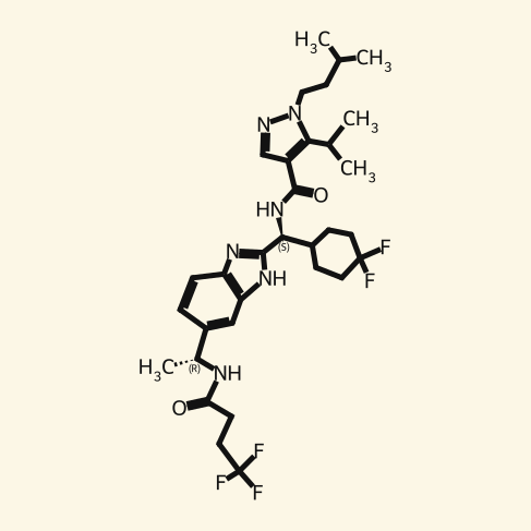 CC(C)CCn1ncc(C(=O)N[C@H](c2nc3ccc([C@@H](C)NC(=O)CCC(F)(F)F)cc3[nH]2)C2CCC(F)(F)CC2)c1C(C)C